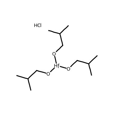 CC(C)C[O][Hf]([O]CC(C)C)[O]CC(C)C.Cl